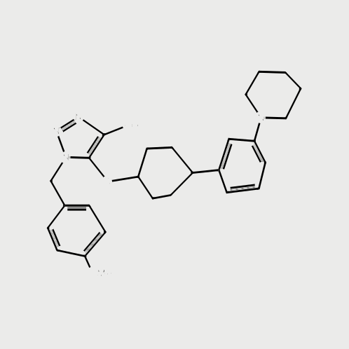 COc1ccc(Cn2nnc(C(=O)O)c2SC2CCC(c3cccc(N4CCCCC4)c3)CC2)cc1